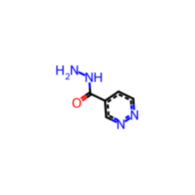 NNC(=O)c1ccnnc1